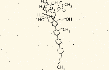 C=C(C)C(=O)OCC(COC(=O)C(=C)C)(COC(=O)C(=C)C)COc1c(CCCO)cc(-c2ccc(-c3ccc(C4CCC(CCCCC)CC4)cc3)cc2CC)cc1CCCO